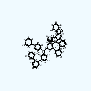 c1ccc(-c2ccc(N(c3ccc4c(c3)-c3ccccc3-c3ccccc3C43c4ccccc4-c4c3ccc3oc5ccccc5c43)c3cccc4c3Oc3ccccc3-c3ccccc3-4)cc2)cc1